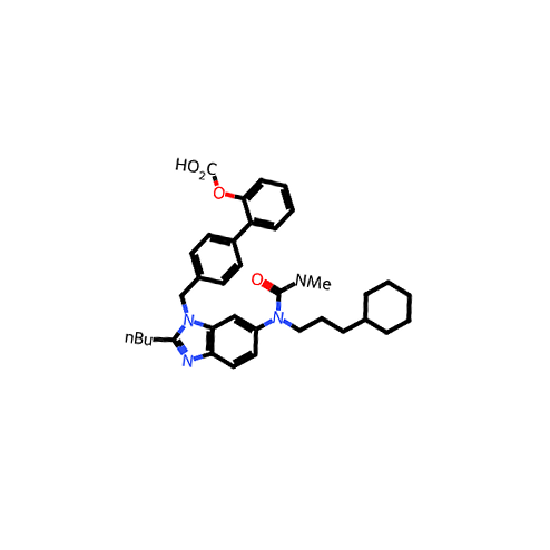 CCCCc1nc2ccc(N(CCCC3CCCCC3)C(=O)NC)cc2n1Cc1ccc(-c2ccccc2OC(=O)O)cc1